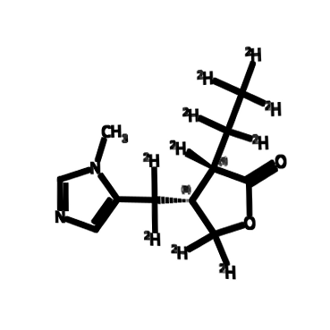 [2H]C1([2H])OC(=O)[C@@]([2H])(C([2H])([2H])C([2H])([2H])[2H])[C@H]1C([2H])([2H])c1cncn1C